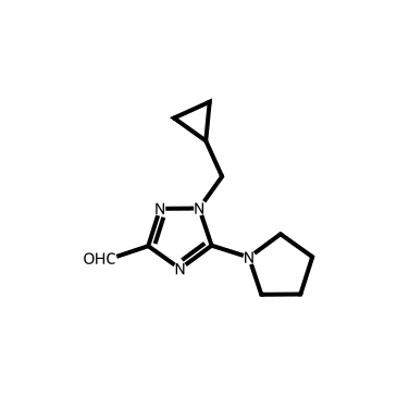 O=Cc1nc(N2CCCC2)n(CC2CC2)n1